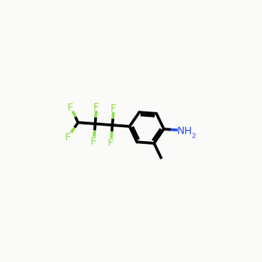 Cc1cc(C(F)(F)C(F)(F)C(F)F)ccc1N